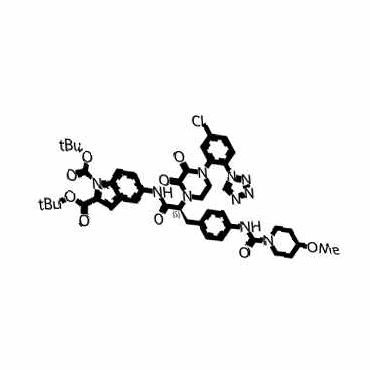 COC1CCN(C(=O)Nc2ccc(C[C@@H](C(=O)Nc3ccc4c(c3)cc(C(=O)OC(C)(C)C)n4C(=O)OC(C)(C)C)N3CCN(c4cc(Cl)ccc4-n4cnnn4)C(=O)C3=O)cc2)CC1